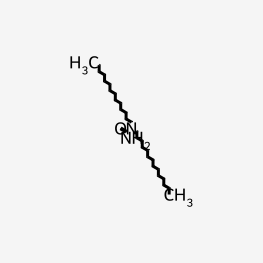 CCCCCCCCCCCCCCN(CCCCCCCCCCCCCC)C(N)=O